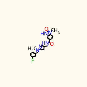 CN(Cc1cccc(F)c1)c1ccc(CNC(=O)c2ccc3c(c2)[nH]c(=O)n3C)cn1